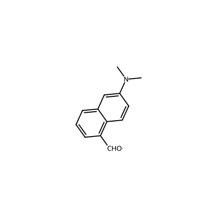 CN(C)c1ccc2c([C]=O)cccc2c1